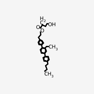 C=C(CCO)C(=O)OCCCc1ccc(-c2ccc(-c3ccc(CCCCC)cc3)cc2CC)cc1